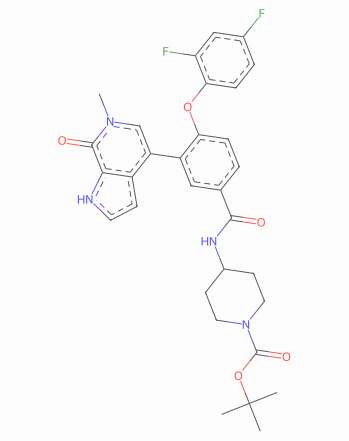 Cn1cc(-c2cc(C(=O)NC3CCN(C(=O)OC(C)(C)C)CC3)ccc2Oc2ccc(F)cc2F)c2cc[nH]c2c1=O